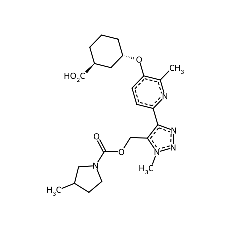 Cc1nc(-c2nnn(C)c2COC(=O)N2CCC(C)C2)ccc1O[C@H]1CCC[C@H](C(=O)O)C1